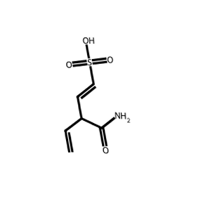 C=CC(C=CS(=O)(=O)O)C(N)=O